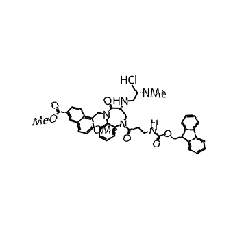 CN[C@@H](C)CN[C@H]1CN(C(=O)CCNC(=O)OCC2c3ccccc3-c3ccccc32)c2ccccc2N(Cc2c(OC)ccc3cc(C(=O)OC)ccc23)C1=O.Cl